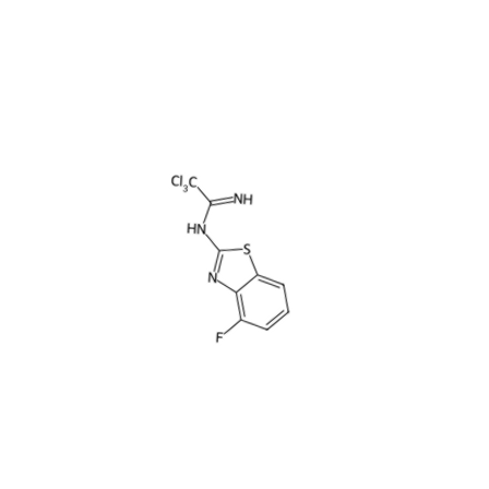 N=C(Nc1nc2c(F)cccc2s1)C(Cl)(Cl)Cl